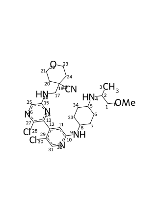 COCC(C)NC1CCC(Nc2cc(-c3nc(NCC4(C#N)CCOCC4)cnc3Cl)c(Cl)cn2)CC1